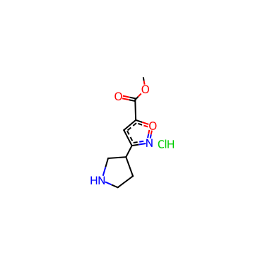 COC(=O)c1cc(C2CCNC2)no1.Cl